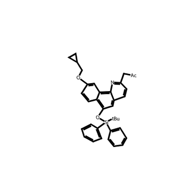 CC(=O)Cc1ccc2cc(O[Si](c3ccccc3)(c3ccccc3)C(C)(C)C)c3ccc(OCC4CC4)cc3c2n1